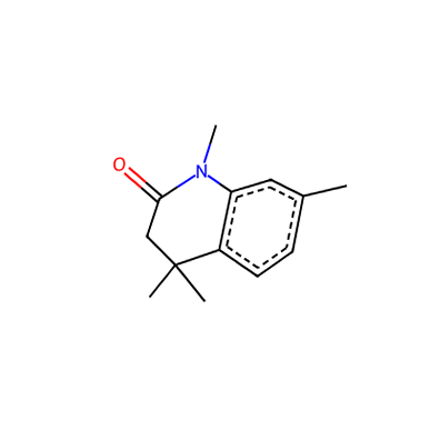 Cc1ccc2c(c1)N(C)C(=O)CC2(C)C